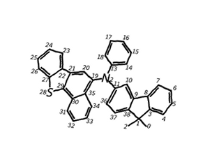 CC1(C)c2ccccc2-c2cc(N(c3ccccc3)c3cc4c5ccccc5sc4c4ccccc34)ccc21